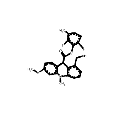 COc1ccc2c(c1)N(C)c1cccc(CO)c1C2C(=O)Oc1c(F)ccc(C)c1F